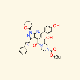 CC(C)(C)OC(=O)N1CCN(C(=O)c2cc(-c3ccc(O)cc3)nc3c2c(/C=C/c2ccccc2)nn3[C@H]2CCCCO2)C(CO)C1